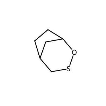 C1CC2CC1CSO2